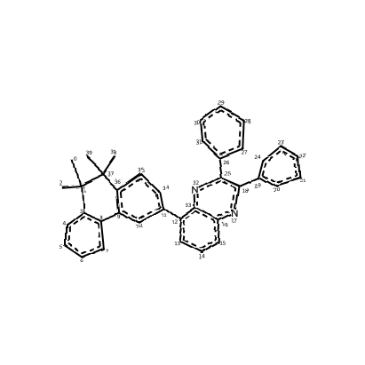 CC1(C)c2ccccc2-c2cc(-c3cccc4nc(-c5ccccc5)c(-c5ccccc5)nc34)ccc2C1(C)C